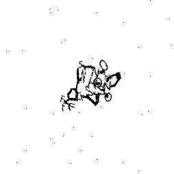 O=C(NCc1nc(-c2ccc(C(F)(F)F)cc2)cs1)[C@@H]1C=CCN1S(=O)(=O)c1ccc(Cl)s1